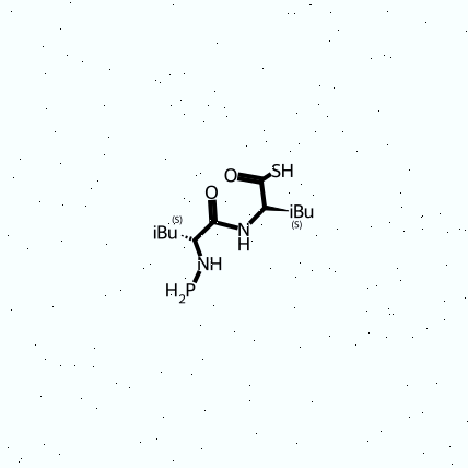 CC[C@H](C)C(NC(=O)C(NP)[C@@H](C)CC)C(=O)S